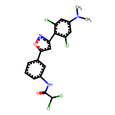 CN(C)c1cc(Cl)c(-c2cc(-c3cccc(NC(=O)C(Cl)Cl)c3)on2)c(Cl)c1